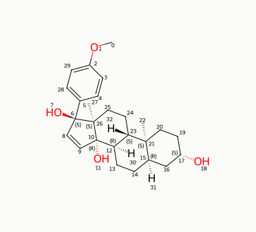 COc1ccc([C@@]2(O)C=C[C@]3(O)[C@@H]4CC[C@@H]5C[C@@H](O)CC[C@]5(C)[C@H]4CC[C@]23C)cc1